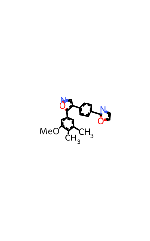 COc1cc(-c2oncc2-c2ccc(-c3ncco3)cc2)cc(C)c1C